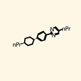 CCCc1cnc(-c2ccc([C@H]3CC[C@H](CCC)CC3)cc2)nc1